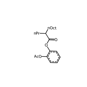 CCCCCCCCC(CCC)C(=O)Oc1ccccc1OC(C)=O